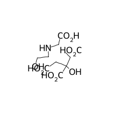 O=C(O)CC(O)(CC(=O)O)C(=O)O.O=C(O)CNCCO